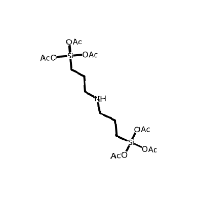 CC(=O)O[Si](CCCNCCC[Si](OC(C)=O)(OC(C)=O)OC(C)=O)(OC(C)=O)OC(C)=O